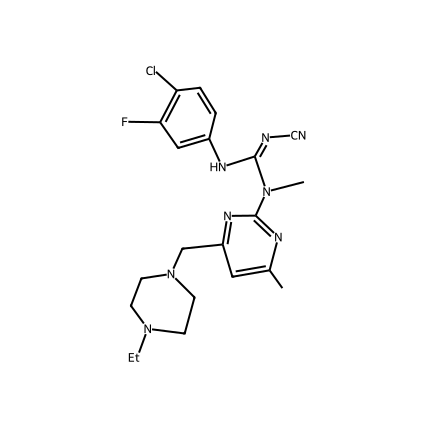 CCN1CCN(Cc2cc(C)nc(N(C)/C(=N\C#N)Nc3ccc(Cl)c(F)c3)n2)CC1